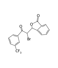 O=C1OC(C(Br)C(=O)c2cccc(C(F)(F)F)c2)c2ccccc21